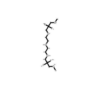 COCC(F)(F)COCCOCCOCC(F)(F)COC